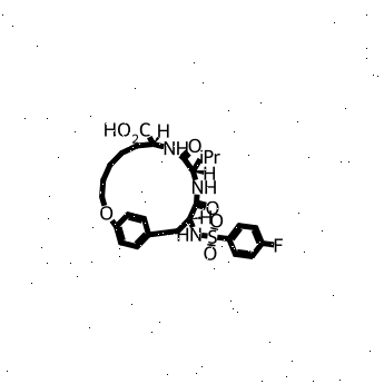 CC(C)[C@@H]1NC(=O)[C@@H](NS(=O)(=O)c2ccc(F)cc2)Cc2ccc(cc2)OCCCCC[C@@H](C(=O)O)NC1=O